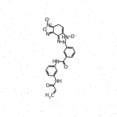 C=CC(=O)Nc1cccc(NC(=O)c2cccc(N3N=C4C(=CCc5c4no[n+]5[O-])[NH+]3[O-])c2)c1